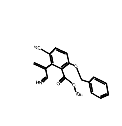 C=C(C=N)c1c(C#N)ccc(OCc2ccccc2)c1C(=O)OC(C)(C)C